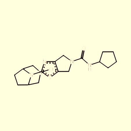 CN1CC2CCC(C1)N2c1nc2c(s1)CN(C(=O)NC1CCCC1)C2